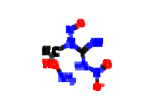 CN(N=O)C(=N)N[N+](=O)[O-].NO